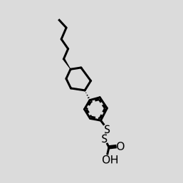 CCCCC[C@H]1CC[C@H](c2ccc(SSC(=O)O)cc2)CC1